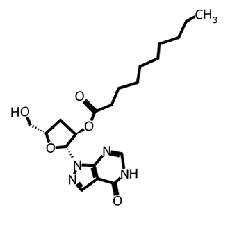 CCCCCCCCCC(=O)O[C@@H]1C[C@@H](CO)O[C@H]1n1ncc2c(=O)[nH]cnc21